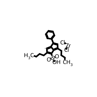 CCCCC1=C(S(=O)(=O)O)C2=C(CCCC)C=C(c3ccccc3)C2=[C]1.[Cl][Zr][Cl]